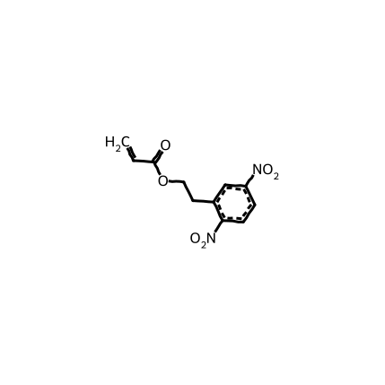 C=CC(=O)OCCc1cc([N+](=O)[O-])ccc1[N+](=O)[O-]